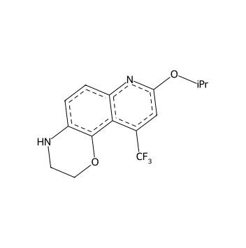 CC(C)Oc1cc(C(F)(F)F)c2c3c(ccc2n1)NCCO3